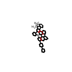 CC1CC=CC2=C1C(C)(C)c1cc(-c3ccccc3N(c3ccc(-c4ccc(-c5ccccc5)cc4)cc3)c3ccccc3-c3cccc4cccc(-c5ccccc5)c34)ccc12